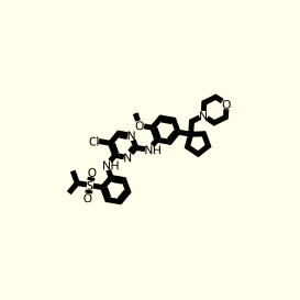 COc1ccc(C2(CN3CCOCC3)CCCC2)cc1Nc1ncc(Cl)c(Nc2ccccc2S(=O)(=O)C(C)C)n1